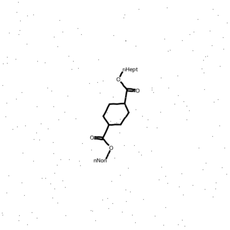 CCCCCCCCCOC(=O)C1CCC(C(=O)OCCCCCCC)CC1